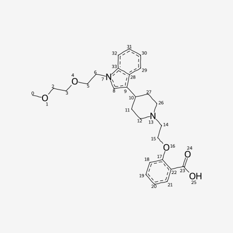 COCCOCCn1cc(C2CCN(CCOc3ccccc3C(=O)O)CC2)c2ccccc21